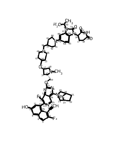 C#Cc1c(F)ccc2cc(O)cc(-c3ncc4c(N5CC6CCC(C5)N6)nc(OC[C@@H]5C[C@@H](OC6CCN(CC7CCN(c8ccc9c(c8)n(C(C)C)c(=O)n9C8CCC(=O)NC8=O)CC7)CC6)CN5C)nc4c3F)c12